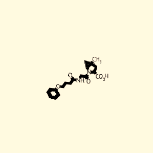 CC12CC(C(=O)O)N(C(=O)CNC(=O)CCCOc3ccccc3)C1C2